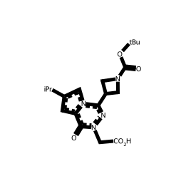 CC(C)c1cc2c(=O)n(CC(=O)O)nc(C3CN(C(=O)OC(C)(C)C)C3)n2c1